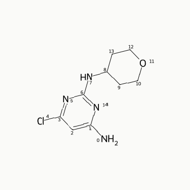 Nc1cc(Cl)nc(NC2CCOCC2)n1